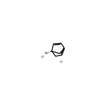 [Cl-].[Cl-].[Rh+2][C]12C=CC(=CC1)C2